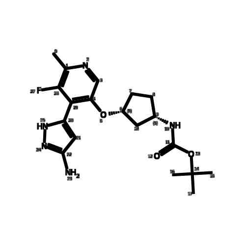 Cc1ncc(O[C@@H]2CC[C@H](NC(=O)OC(C)(C)C)C2)c(-c2cc(N)n[nH]2)c1F